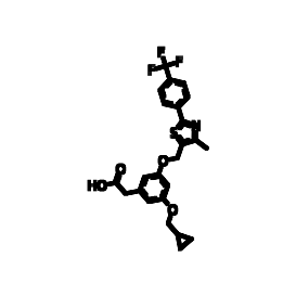 Cc1nc(-c2ccc(C(F)(F)F)cc2)sc1COc1cc(CC(=O)O)cc(OCC2CC2)c1